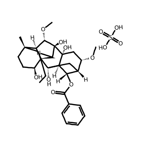 CCN1C[C@]2(C)CC[C@H](O)[C@]34C1[C@](O)([C@@H](OC)[C@H]23)[C@@]1(O)C[C@H](OC)[C@H]2C[C@]4(O)[C@@H]1[C@H]2OC(=O)c1ccccc1.O=S(=O)(O)O